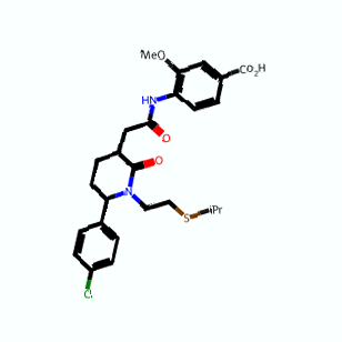 COc1cc(C(=O)O)ccc1NC(=O)CC1CCC(c2ccc(Cl)cc2)N(CCSC(C)C)C1=O